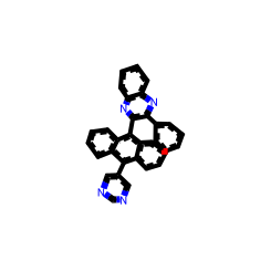 c1ccc(-c2nc3ccccc3nc2-c2c3ccccc3c(-c3cncnc3)c3ccccc23)cc1